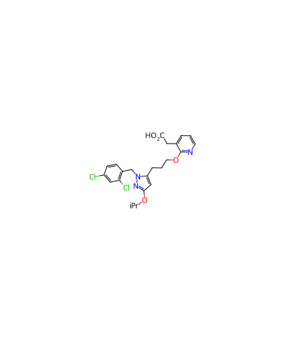 CC(C)Oc1cc(CCCOc2ncccc2CC(=O)O)n(Cc2ccc(Cl)cc2Cl)n1